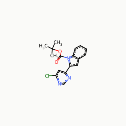 CC(C)(C)OC(=O)n1c(-c2cc(Cl)ncn2)cc2ccccc21